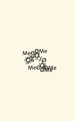 COc1cc(C(=O)C=Cc2cc(OC)c(OC)c(-c3cc4ccccc4s3)c2)cc(OC)c1OC